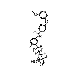 COc1cccc(Oc2ccc(S(=O)(=O)c3ccc(C)c(C(F)(F)C(F)(F)C(F)(F)C(F)(F)S(=O)(=O)O)c3)cc2)c1